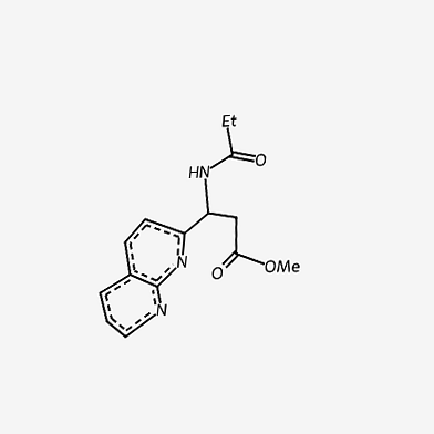 CCC(=O)NC(CC(=O)OC)c1ccc2cccnc2n1